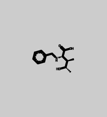 C[C@@H]([C@H](C)O)[C@H](NCc1ccccc1)C(=O)O